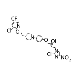 O=[N+]([O-])c1cn(CC[C@@H](O)COc2ccc(N3CCC(CCOc4ncc(C(F)(F)F)cc4Cl)CC3)cc2)c(Cl)n1